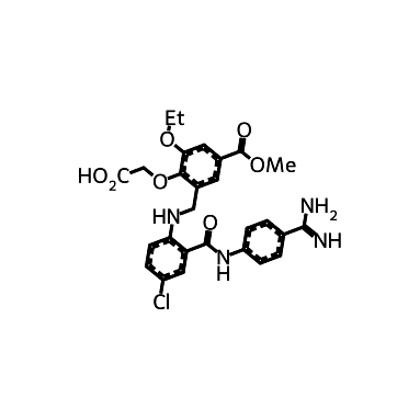 CCOc1cc(C(=O)OC)cc(CNc2ccc(Cl)cc2C(=O)Nc2ccc(C(=N)N)cc2)c1OCC(=O)O